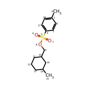 Cc1ccc(S(=O)(=O)OCC2CCCC(C)C2)cc1